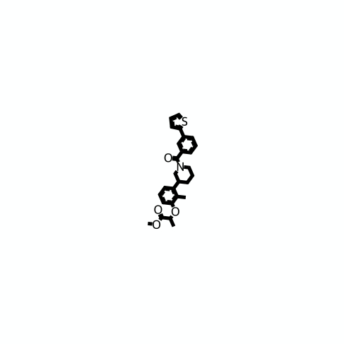 COC(=O)C(C)Oc1cccc(C2CCCN(C(=O)c3cccc(-c4cccs4)c3)C2)c1C